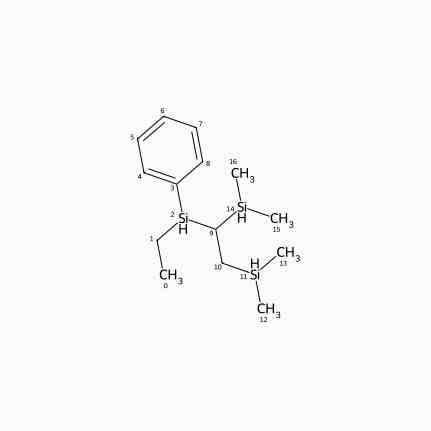 CC[SiH](c1ccccc1)C(C[SiH](C)C)[SiH](C)C